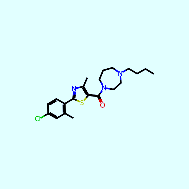 CCCCN1CCCN(C(=O)c2sc(-c3ccc(Cl)cc3C)nc2C)CC1